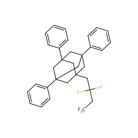 FC(F)(F)CC(F)(F)CC12CC3(c4ccccc4)CC(c4ccccc4)(C1)CC(c1ccccc1)(C2)C3